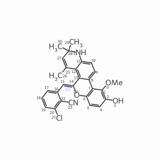 COc1c(O)ccc2c1-c1ccc3c(c1/C(=C/c1cccc(Cl)c1C#N)O2)C(C)=CC(C)(C)N3